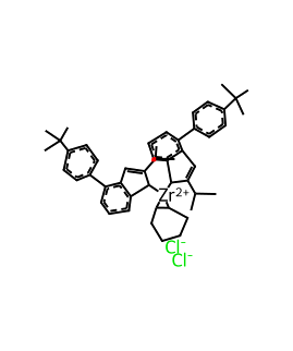 CC(C)C1=Cc2c(-c3ccc(C(C)(C)C)cc3)cccc2[CH]1[Zr+2]1([CH]2C(C(C)C)=Cc3c(-c4ccc(C(C)(C)C)cc4)cccc32)[CH]2CCCC[CH]21.[Cl-].[Cl-]